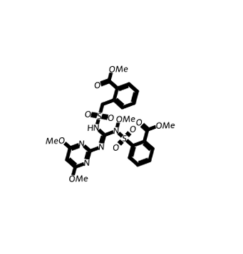 COC(=O)c1ccccc1CS(=O)(=O)NC(=Nc1nc(OC)cc(OC)n1)N(OC)S(=O)(=O)c1ccccc1C(=O)OC